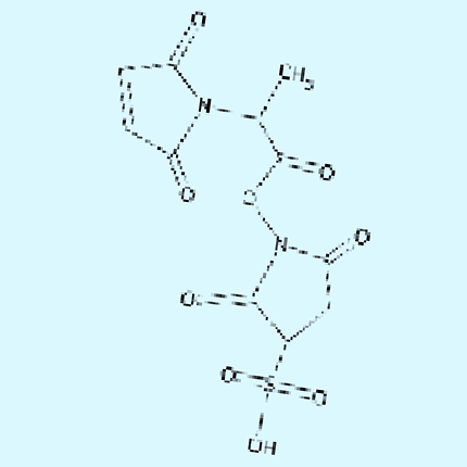 CC(C(=O)ON1C(=O)CC(S(=O)(=O)O)C1=O)N1C(=O)C=CC1=O